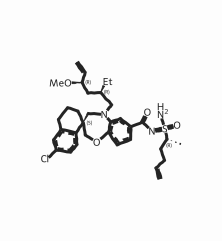 C=CCC[C@@H](C)S(N)(=O)=NC(=O)c1ccc2c(c1)N(C[C@H](CC)C[C@H](C=C)OC)C[C@@]1(CCCc3cc(Cl)ccc31)CO2